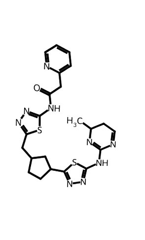 CC1CC=NC(Nc2nnc(C3CCC(Cc4nnc(NC(=O)Cc5ccccn5)s4)C3)s2)=N1